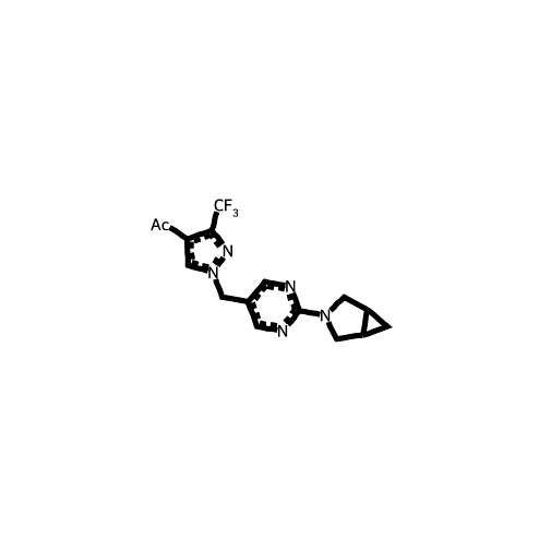 CC(=O)c1cn(Cc2cnc(N3CC4CC4C3)nc2)nc1C(F)(F)F